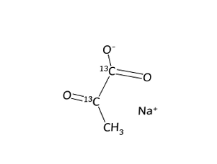 C[13C](=O)[13C](=O)[O-].[Na+]